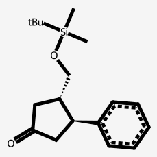 CC(C)(C)[Si](C)(C)OC[C@H]1CC(=O)C[C@@H]1c1ccccc1